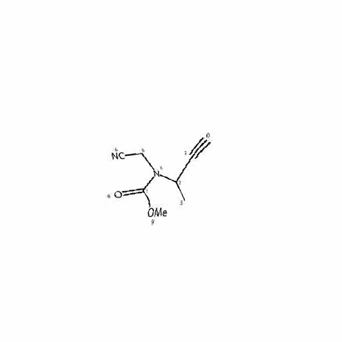 C#CC(C)N(CC#N)C(=O)OC